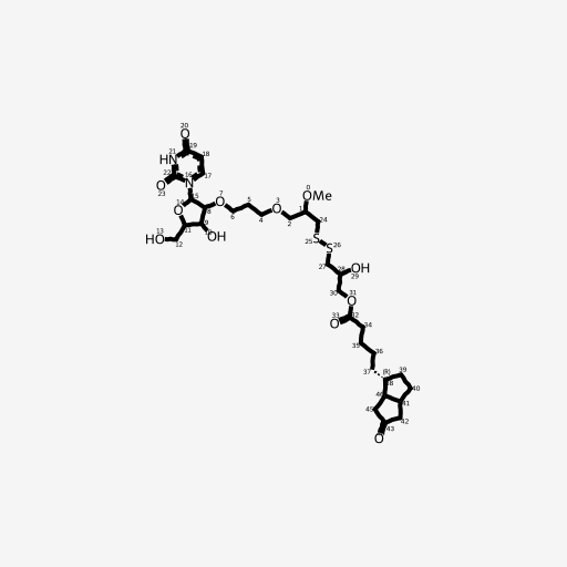 COC(COCCCOC1C(O)C(CO)OC1n1ccc(=O)[nH]c1=O)CSSCC(O)COC(=O)CCCC[C@@H]1CCC2CC(=O)CC21